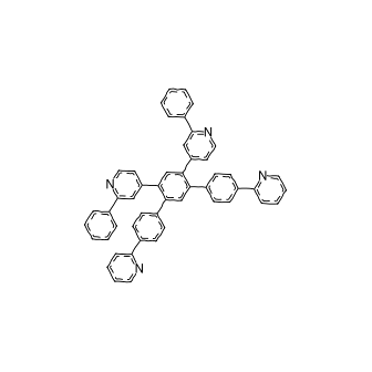 c1ccc(-c2cc(-c3cc(-c4ccnc(-c5ccccc5)c4)c(-c4ccc(-c5ccccn5)cc4)cc3-c3ccc(-c4ccccn4)cc3)ccn2)cc1